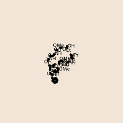 CCC(CO)OC(COC(=O)NCCC(=O)N[C@@H](C)C(=O)OCCCNC(=O)[C@@H](Cc1ccccc1)NC(=O)[C@H](C)[C@@H](OC)[C@@H]1CCCN1C(=O)C[C@@H](OC)[C@H]([C@@H](C)CC)N(C)C(=O)[C@@H](NC(=O)[C@@H](C)C(C)C)C(C)C)OC